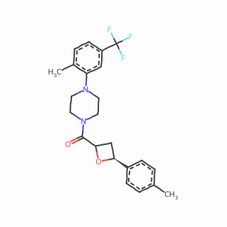 Cc1ccc([C@@H]2CC(C(=O)N3CCN(c4cc(C(F)(F)F)ccc4C)CC3)O2)cc1